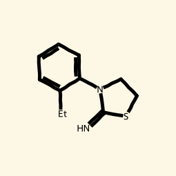 CCc1ccccc1N1CCSC1=N